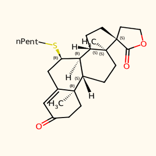 CCCCCS[C@@H]1CC2=CC(=O)CC[C@]2(C)[C@H]2CC[C@@]3(C)[C@@H](CC[C@]34CCOC4=O)[C@H]12